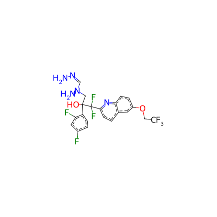 N/N=C\N(N)CC(O)(c1ccc(F)cc1F)C(F)(F)c1ccc2cc(OCC(F)(F)F)ccc2n1